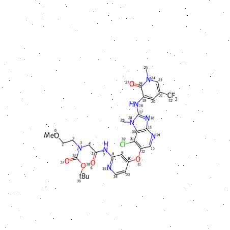 COCCN(CC(=O)Nc1cc(Oc2cnc3nc(Nc4cc(C(F)(F)F)cn(C)c4=O)n(C)c3c2Cl)ccn1)C(=O)OC(C)(C)C